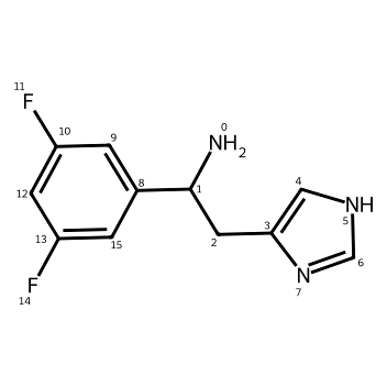 NC(Cc1c[nH]cn1)c1cc(F)cc(F)c1